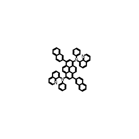 c1ccc(N(c2cc(-c3ccc4ccccc4c3)c3ccc4c(N(c5ccccc5)c5cccc6cccnc56)cc(-c5ccc6ccccc6c5)c5ccc2c3c54)c2cccc3cccnc23)cc1